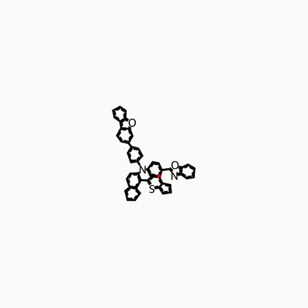 c1cc2ccc(-c3c(N(c4ccc(-c5ccc6c(c5)oc5ccccc56)cc4)c4ccc(-c5nc6ccccc6o5)cc4)ccc4ccccc34)sc-2c1